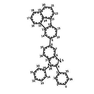 c1ccc(-c2nc3cc(-c4ccc5c(c4)-c4cccc6cccc-5c46)ccc3n2-c2ccccc2)cc1